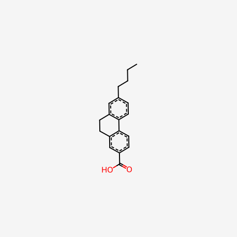 CCCCc1ccc2c(c1)CCc1cc(C(=O)O)ccc1-2